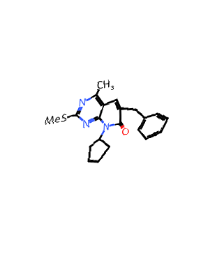 CSc1nc(C)c2cc(Cc3ccccc3)c(=O)n(C3CCCC3)c2n1